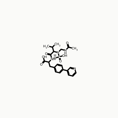 CC(=O)NCN(C(C(=O)NC(Cc1ccc(-c2cccnc2)cc1)C(=O)O)C(C)C)P(=O)(O)O